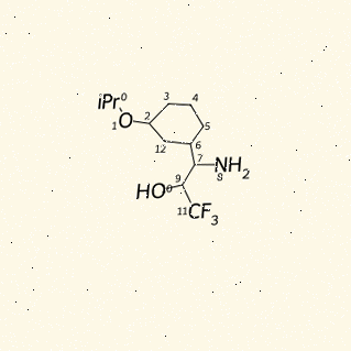 CC(C)OC1CCCC(C(N)C(O)C(F)(F)F)C1